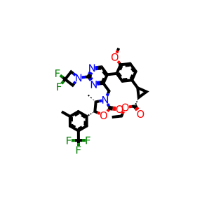 CCOC(=O)[C@H]1CC1c1ccc(OC)c(-c2cnc(N3CC(F)(F)C3)nc2CN2C(=O)O[C@H](c3cc(C)cc(C(F)(F)F)c3)[C@@H]2C)c1